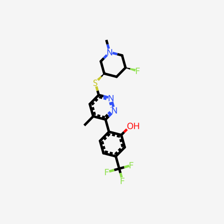 Cc1cc(S[C@@H]2C[C@H](F)CN(C)C2)nnc1-c1ccc(C(F)(F)F)cc1O